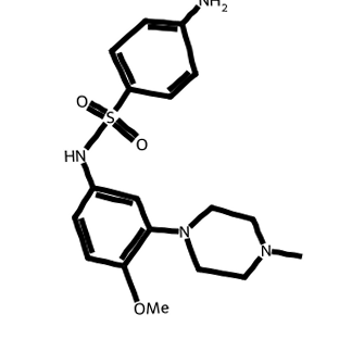 COc1ccc(NS(=O)(=O)c2ccc(N)cc2)cc1N1CCN(C)CC1